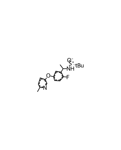 Cc1ccc(Oc2ccc(F)c(C(C)N[S@+]([O-])C(C)(C)C)c2)cn1